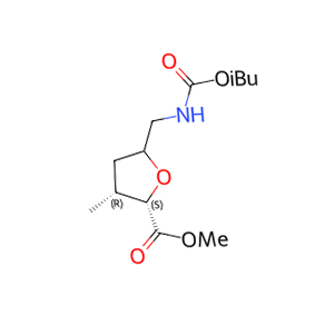 COC(=O)[C@H]1OC(CNC(=O)OCC(C)C)C[C@H]1C